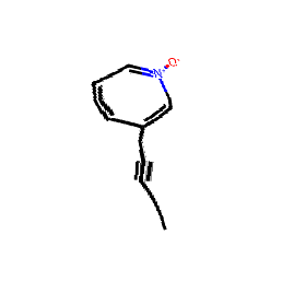 CC#Cc1ccc[n+]([O-])c1